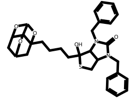 O=C1N(Cc2ccccc2)C2CSC(O)(CCCCC34CC5CC(C3)OC(O5)O4)C2N1Cc1ccccc1